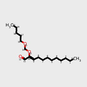 CCCCCCCCCC=C(C=O)OCOCCCCC